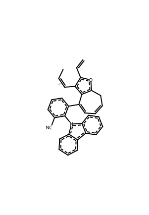 C=Cc1oc2c(c1/C=C\C)C(c1cccc(C#N)c1-n1c3ccccc3c3ccccc31)=CC=CC2